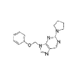 c1ccc(OCn2cnc3cnc(N4CCCC4)nc32)cc1